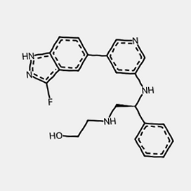 OCCNC[C@@H](Nc1cncc(-c2ccc3[nH]nc(F)c3c2)c1)c1ccccc1